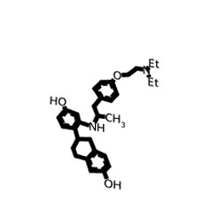 CCN(CC)CCOc1ccc(CC(C)Nc2cc(O)ccc2C2CCc3cc(O)ccc3C2)cc1